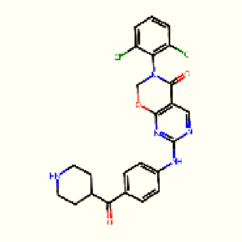 O=C(c1ccc(Nc2ncc3c(n2)OCN(c2c(Cl)cccc2Cl)C3=O)cc1)C1CCNCC1